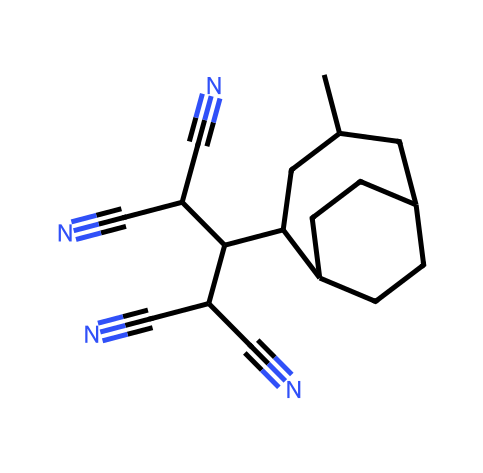 CC1CC2CCC(CC2)C(C(C(C#N)C#N)C(C#N)C#N)C1